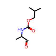 CC(C)COC(=O)NC(C)[C]=O